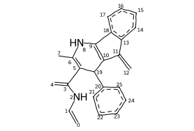 C=CNC(=C)C1=C(C)NC2=C(C(=C)c3ccccc32)C1c1ccccc1